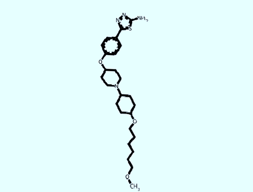 COCCCCCCOC1CCC(N2CCC(Oc3ccc(-c4nnc(N)s4)cc3)CC2)CC1